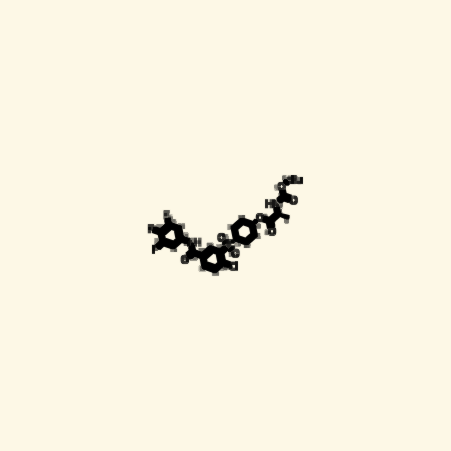 C[C@H](NC(=O)OC(C)(C)C)C(=O)O[C@H]1CC[C@H](S(=O)(=O)c2cc(C(=O)Nc3cc(F)c(F)c(F)c3)ccc2Cl)CC1